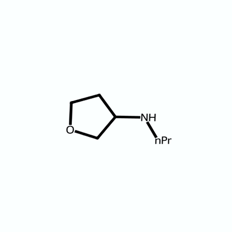 CCCNC1CCOC1